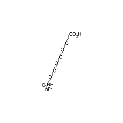 CCCC(=O)NCCOCCOCCOCCOCCOCCOCCCC(=O)O